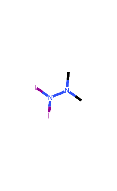 CN(C)N(I)I